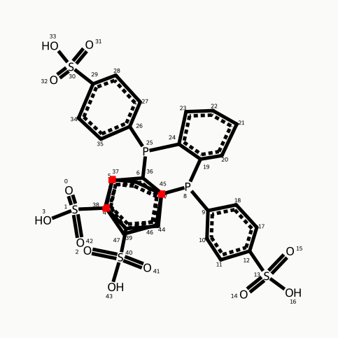 O=S(=O)(O)c1ccc(P(c2ccc(S(=O)(=O)O)cc2)c2ccccc2P(c2ccc(S(=O)(=O)O)cc2)c2ccc(S(=O)(=O)O)cc2)cc1